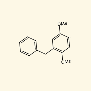 COc1[c]cc(OC)c(Cc2ccccc2)c1